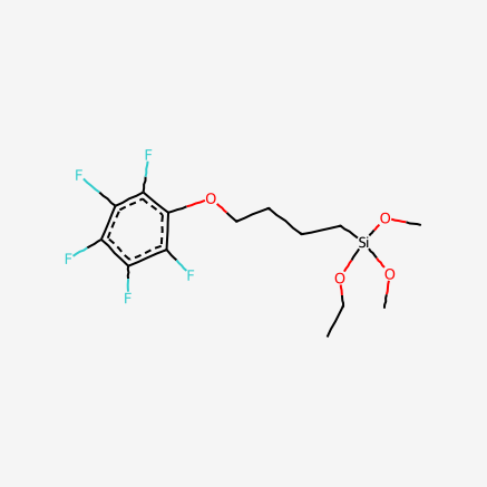 CCO[Si](CCCCOc1c(F)c(F)c(F)c(F)c1F)(OC)OC